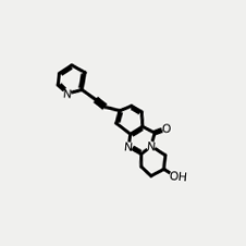 O=c1c2ccc(C#Cc3ccccn3)cc2nc2n1CC(O)CC2